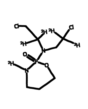 [2H]N1CCCOP1(=O)N(CC([2H])([2H])Cl)C([2H])([2H])CCl